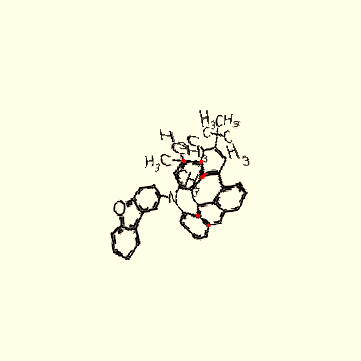 CC1C(C(C)(C)C)=CC(c2cccc3cccc(-c4ccccc4N(c4ccccc4)c4ccc5oc6ccccc6c5c4)c23)=CC1C(C)(C)C